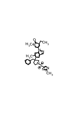 CCc1cc(-n2ncc3cc(C4(Cc5ccccc5)CCN(S(=O)(=O)c5cnn(C)n5)C4)c(C)cc32)cn(C)c1=O